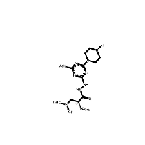 CCCCC[C@@H](CN(O)C=O)C(=O)NNc1nc(NC)nc(N2CCN(CC)CC2)n1